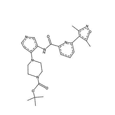 Cc1noc(C)c1-c1cccc(C(=O)Nc2cnccc2N2CCN(C(=O)OC(C)(C)C)CC2)n1